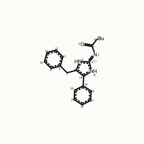 CCC(C)C(=O)/N=c1\[nH]c(Cc2ccccc2)c(-c2ccccc2)[nH]1